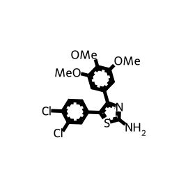 COc1cc(-c2nc(N)sc2-c2ccc(Cl)c(Cl)c2)cc(OC)c1OC